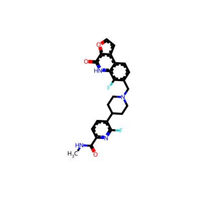 CNC(=O)c1ccc(C2CCN(Cc3ccc4c([nH]c(=O)c5occc54)c3F)CC2)c(F)n1